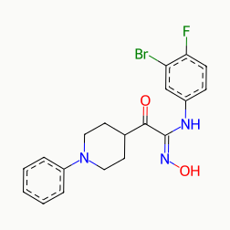 O=C(/C(=N/O)Nc1ccc(F)c(Br)c1)C1CCN(c2ccccc2)CC1